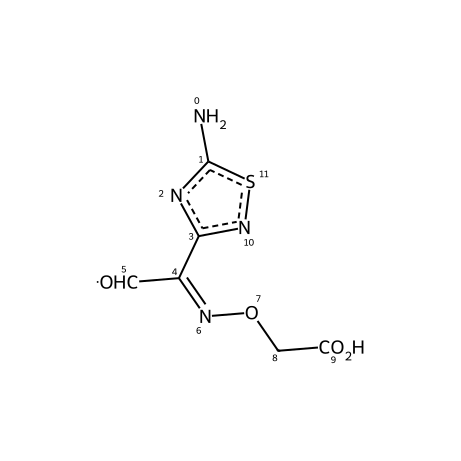 Nc1nc(/C([C]=O)=N\OCC(=O)O)ns1